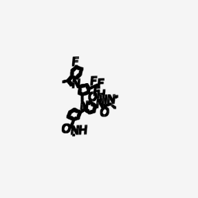 CNC(=O)c1cccc(-c2ccc(NC(=O)[C@H](C)NC)c(=O)n2Cc2cc(-n3cc(C)c4cc(F)ccc43)cc(C(F)(F)F)c2)c1